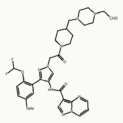 CSc1ccc(OC(F)F)c(-c2nn(CC(=O)N3CCC(CN4CCN(CC=O)CC4)CC3)cc2NC(=O)c2cnn3cccnc23)c1